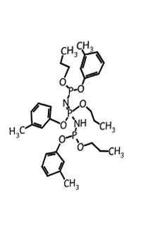 CCCOP(N=P(NP(OCCC)Oc1cccc(C)c1)(OCCC)Oc1cccc(C)c1)Oc1cccc(C)c1